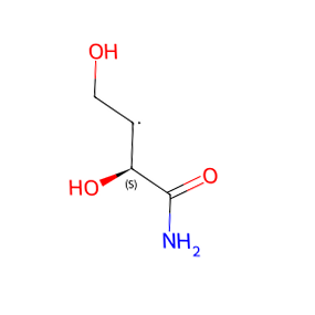 NC(=O)[C@@H](O)[CH]CO